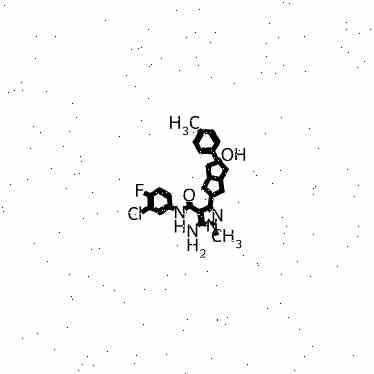 Cc1ccc(C2(O)CC3CC(c4nn(C)c(N)c4C(=O)Nc4ccc(F)c(Cl)c4)CC3C2)cc1